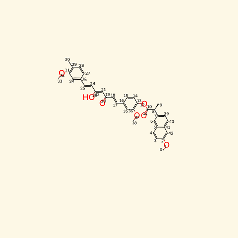 COc1ccc2cc([C@H](C)C(=O)Oc3ccc(/C=C/C(=O)/C=C(O)/C=C/c4ccc(C)c(OC)c4)cc3OC)ccc2c1